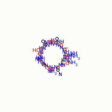 CCCC[C@H]1C(=O)N(C)[C@@H](CCCC)C(=O)N[C@@H](CCCNC(=N)N)C(=O)N[C@H](C(=O)NCC(N)=O)CSCC(=O)N[C@@H](Cc2cccc(C#N)c2)C(=O)N(C)[C@@H](C)C(=O)N[C@@H](CC(N)=O)C(=O)N2CCC[C@H]2C(=O)N[C@@H](Cc2cnc[nH]2)C(=O)N[C@@H](CC(C)C)C(=O)N2C[C@H](O)CC2C(=O)N[C@@H](Cc2c[nH]c3ccccc23)C(=O)N[C@@H](CO)C(=O)N[C@@H](Cc2c[nH]c3ccccc23)C(=O)N1C